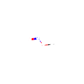 O=N[O][Os]